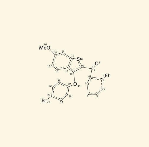 CCc1ccccc1C(=O)c1sc2cc(OC)ccc2c1Oc1ccc(Br)cc1